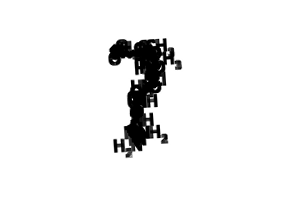 CC(C)[C@H](NC(=O)CCCCCN1C(=O)C=CC1=O)C(=O)N[C@@H](C)C(=O)Nc1ccc(C(=O)NCCC[C@H](NC(=O)c2ccc(NCc3cnc4nc(N)nc(N)c4n3)cc2)C(=O)O)c(Cl)c1